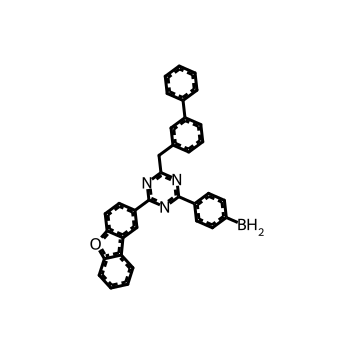 Bc1ccc(-c2nc(Cc3cccc(-c4ccccc4)c3)nc(-c3ccc4oc5ccccc5c4c3)n2)cc1